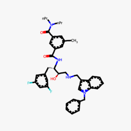 CCCN(CCC)C(=O)c1cc(C)cc(C(=O)N[C@@H](Cc2cc(F)cc(F)c2)[C@H](O)CNCc2cn(Cc3ccccc3)c3ccccc23)c1